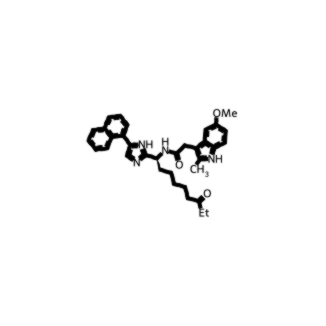 CCC(=O)CCCCC[C@H](NC(=O)Cc1c(C)[nH]c2ccc(OC)cc12)c1ncc(-c2cccc3ccccc23)[nH]1